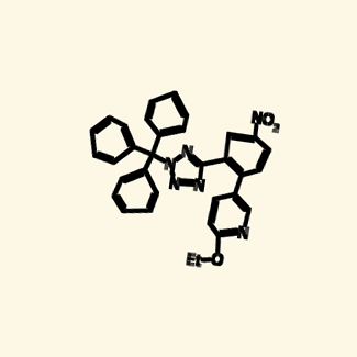 CCOc1ccc(-c2ccc([N+](=O)[O-])cc2-c2nnn(C(c3ccccc3)(c3ccccc3)c3ccccc3)n2)cn1